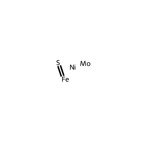 [Mo].[Ni].[S]=[Fe]